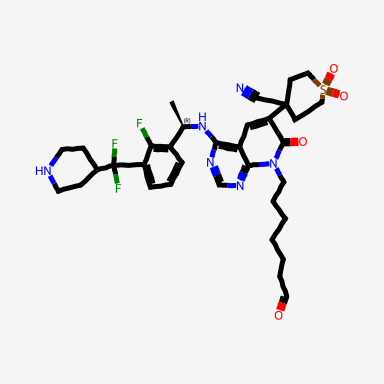 C[C@@H](Nc1ncnc2c1cc(C1(C#N)CCS(=O)(=O)CC1)c(=O)n2CCCCCCC=O)c1cccc(C(F)(F)C2CCNCC2)c1F